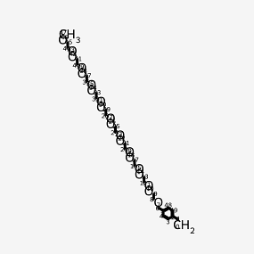 C=Cc1ccc(COCCOOCCOOCCOOCCOOCCOOCCOOCCOOCCOOCCOOCCOC)cc1